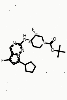 CC(C)(C)OC(=O)N1CC[C@@H](Nc2ncc3c(F)cc(C4CCCC4)n3n2)[C@H](F)C1